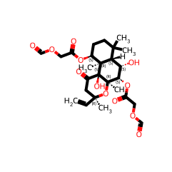 C=C[C@@]1(C)CC(=O)[C@]2(O)[C@@]3(C)[C@@H](OC(=O)COC=O)CCC(C)(C)[C@@H]3[C@H](O)[C@H](OC(=O)COC=O)[C@@]2(C)O1